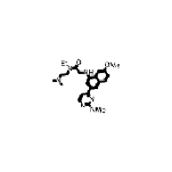 CCN(CCN(C)C)C(=O)CNc1cc(-c2ccnc(NC)n2)cc2ccc(OC)cc12